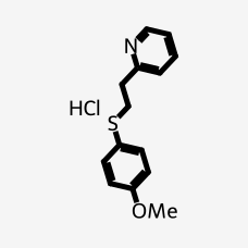 COc1ccc(SCCc2ccccn2)cc1.Cl